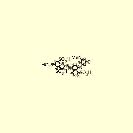 CNc1nc(Cl)nc(Nc2ccc(N=Nc3cc4c(S(=O)(=O)O)cc(S(=O)(=O)O)cc4cc3S(=O)(=O)O)c3cccc(S(=O)(=O)O)c23)n1